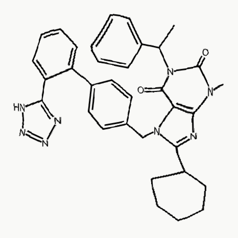 CC(c1ccccc1)n1c(=O)c2c(nc(C3CCCCC3)n2Cc2ccc(-c3ccccc3-c3nnn[nH]3)cc2)n(C)c1=O